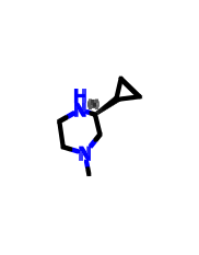 CN1CCN[C@@H](C2CC2)C1